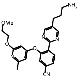 COCCOc1cc(Oc2cc(C#N)ccc2-c2ncc(CCCN)cn2)cc(C)n1